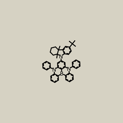 CC(C)(C)c1ccc2c(c1)C1(C)CCCCC1(C)N2c1cc2c3c(c1)N(c1ccccc1)c1ccccc1B3c1ccccc1N2c1ccccc1